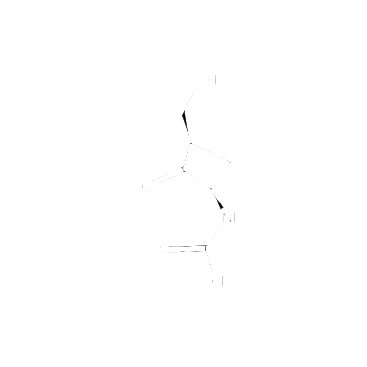 C=C1[C@@H](CO)C[C@H]1NC(=S)C(F)(F)F